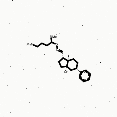 CNCCCC(NC)ON=C[C@H]1CC[C@]2(O)C[C@@H](c3ccccc3)CC[C@]12C